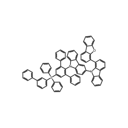 c1ccc(-c2cccc(S(c3ccccc3)(c3ccccc3)c3cc(-c4ccccc4)c(-n4c5ccccc5c5cc(-n6c7ccccc7c7cccc(-c8cccc9c8oc8ccccc89)c76)ccc54)c(-c4ccccc4)c3)c2)cc1